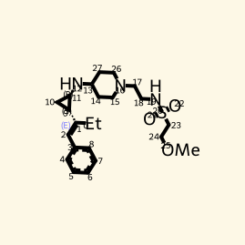 CC/C(=C\c1ccccc1)[C@@H]1C[C@H]1NC1CCN(CCNS(=O)(=O)CCOC)CC1